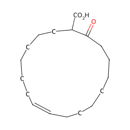 O=C(O)C1CCCCCC/C=C\CCCCCCCC1=O